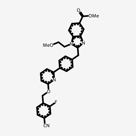 COCCn1c(Cc2ccc(-c3cccc(OCc4ccc(C#N)cc4F)n3)cc2)nc2cc(C(=O)OC)ccc21